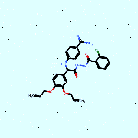 C=CCOc1ccc(C(Nc2ccc(C(=N)N)cc2)C(=O)NNC(=O)c2ccccc2Cl)cc1OCC=C